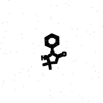 CC1(C)CC(=O)N(c2ccccc2)N1